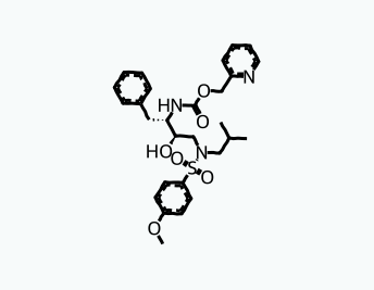 COc1ccc(S(=O)(=O)N(CC(C)C)C[C@@H](O)[C@H](Cc2ccccc2)NC(=O)OCc2ccccn2)cc1